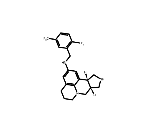 FC(F)(F)c1ccc(C(F)(F)F)c(CNc2cc3c4c(c2)[C@@H]2CNC[C@@H]2CN4CCC3)c1